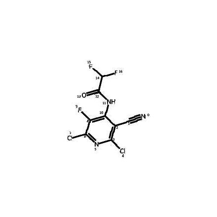 N#Cc1c(Cl)nc(Cl)c(F)c1NC(=O)C(F)F